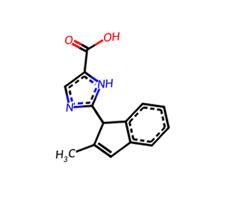 CC1=Cc2ccccc2C1c1ncc(C(=O)O)[nH]1